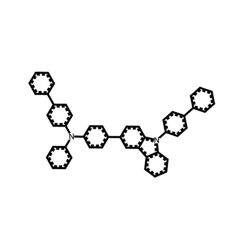 c1ccc(-c2ccc(N(c3ccccc3)c3ccc(-c4ccc5c(c4)c4ccccc4n5-c4ccc(-c5ccccc5)cc4)cc3)cc2)cc1